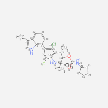 Cc1c[nH]c2c(-c3cc(F)c4c(c3Cl)[C@H](C)C(OC(=O)NC3CCCC3)C(C)(C)N4)cccc12